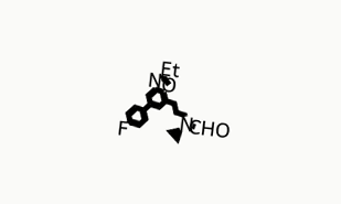 CCc1nc2cc(-c3ccc(F)cc3)cc(CCCN(C=O)C3CC3)c2o1